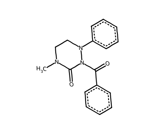 CN1CCN(c2ccccc2)N(C(=O)c2ccccc2)C1=O